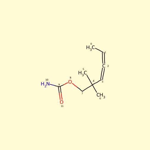 CC=C=CC(C)(C)COC(N)=O